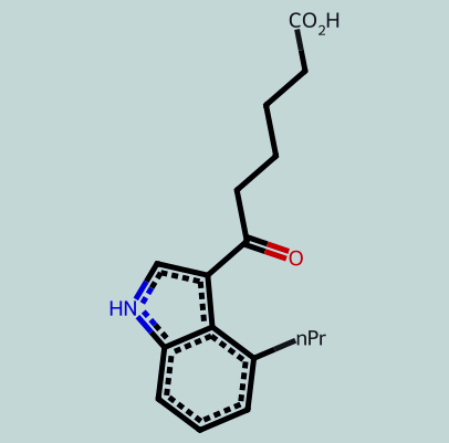 CCCc1cccc2[nH]cc(C(=O)CCCCC(=O)O)c12